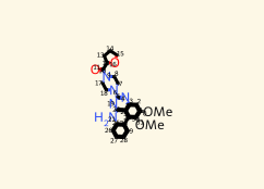 COc1cc2nc(N3CCN(C(=O)C4CCCO4)CC3)nc(N)c2c(-c2ccccc2)c1OC